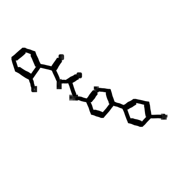 O=C(NC(=O)c1ccccc1Cl)Nc1ccc(-c2ccc(Br)cc2)cn1